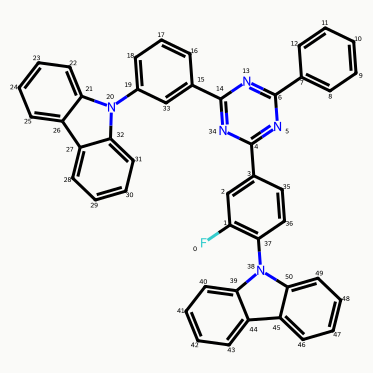 Fc1cc(-c2nc(-c3ccccc3)nc(-c3cccc(-n4c5ccccc5c5ccccc54)c3)n2)ccc1-n1c2ccccc2c2ccccc21